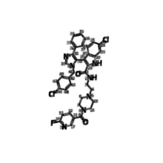 O=C(NCCN1CCN(C(=O)c2ccc(F)nc2)CC1)c1[nH]c2cc(Cl)ccc2c1-c1c(-c2ccccc2)ncn1Cc1ccc(Cl)cc1